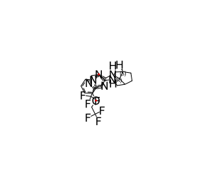 FC(F)(F)COc1cccn2nc(N[C@@H]3C4CC[C@H]3CN(c3ccnc(C(F)(F)F)c3)C4)nc12